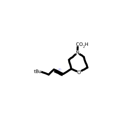 CC(C)(C)C/C=C/C1CN(C(=O)O)CCO1